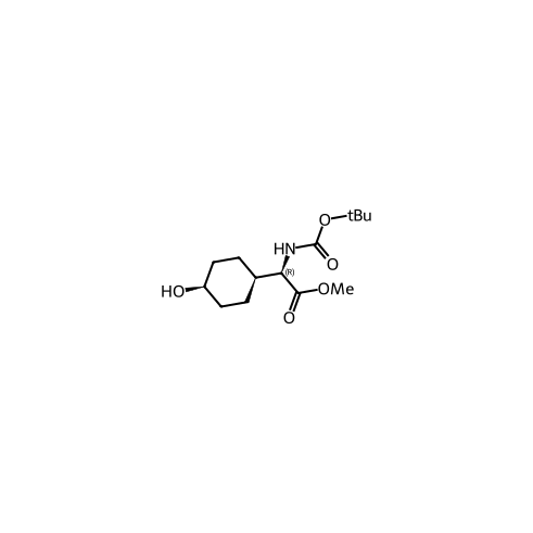 COC(=O)[C@H](NC(=O)OC(C)(C)C)[C@H]1CC[C@@H](O)CC1